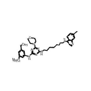 COc1cc(CO)cc(Nc2nc(NCCCCCCCCNc3ccnc4cc(C)ccc34)nc(N3CCOCC3)n2)c1